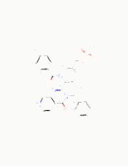 Cc1ccc(C(=O)N(CC(F)COS(C)(=O)=O)C(c2nc3cnccc3c(=O)n2Cc2ccccc2)C(C)C)cc1